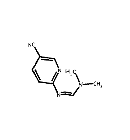 CN(C)/C=N\c1ccc(C#N)cn1